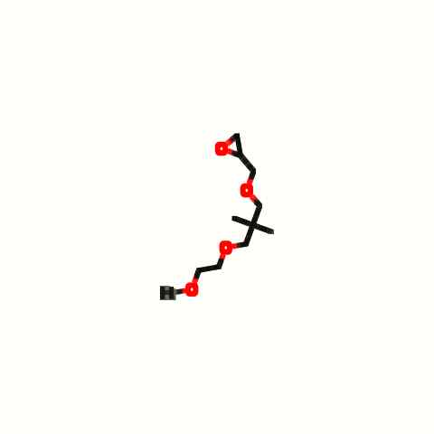 CCOCCOCC(C)(C)COCC1CO1